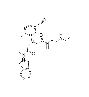 CCNCCNC(=O)CN(CC(=O)N(C)N1Cc2ccccc2C1)c1cc(C#N)ccc1C